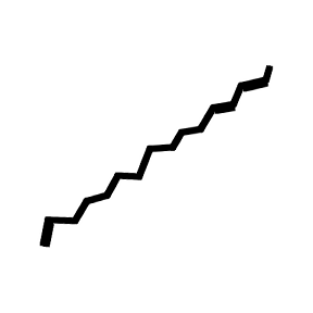 C=CCCCCCCCCCC=CC=CC